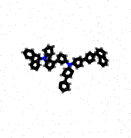 c1ccc(-c2ccc(N(c3ccc(-c4ccc(-c5cccc6ccccc56)cc4)cc3)c3cccc(-c4cccc5c4c4ccccc4n5-c4cc5ccccc5c5ccccc45)c3)cc2)cc1